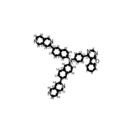 c1ccc2c(c1)oc1ncnc(-c3ccc(N(c4ccc5cc(-c6cc7cnccc7cn6)ccc5c4)c4ccc5cc(-c6cc7cnccc7cn6)ccc5c4)cc3)c12